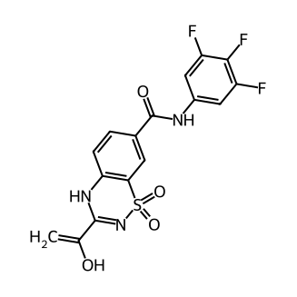 C=C(O)C1=NS(=O)(=O)c2cc(C(=O)Nc3cc(F)c(F)c(F)c3)ccc2N1